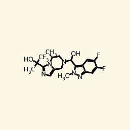 C[C@H]1CN(C(O)c2c3cc(F)c(F)cc3nn2C)Cc2cnc(C(C)(O)C(F)(F)F)n21